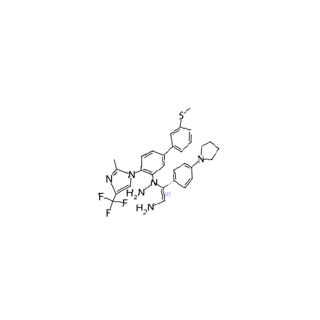 CSc1cccc(-c2ccc(-n3cc(C(F)(F)F)nc3C)c(N(N)/C(=C\N)c3ccc(N4CCCC4)cc3)c2)c1